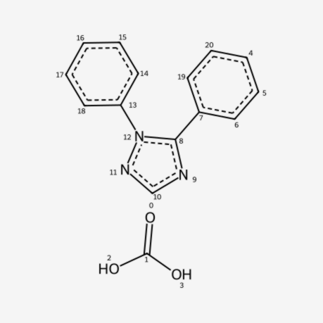 O=C(O)O.c1ccc(-c2ncnn2-c2ccccc2)cc1